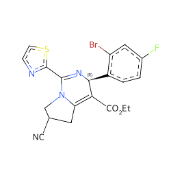 CCOC(=O)C1=C2CC(C#N)CN2C(c2nccs2)=N[C@H]1c1ccc(F)cc1Br